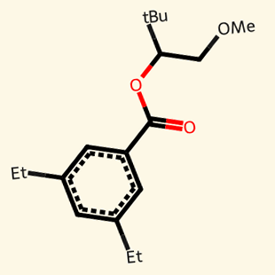 CCc1cc(CC)cc(C(=O)OC(COC)C(C)(C)C)c1